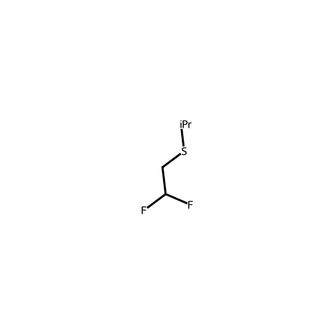 CC(C)SCC(F)F